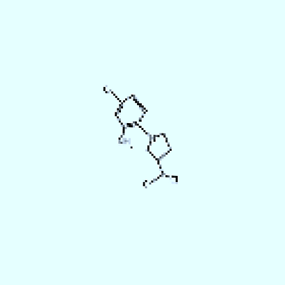 Nc1cc(Cl)ccc1N1CCC(C(Cl)Cl)C1